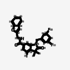 CC1(C)C(=O)N(Cc2cc(F)cc(F)c2)c2cc(C(=O)NCc3cc4ccccc4o3)cc(I)c21